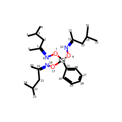 CC(CC(C)C)=NO[Si](ON=C(C)CC(C)C)(ON=C(C)CC(C)C)c1ccccc1